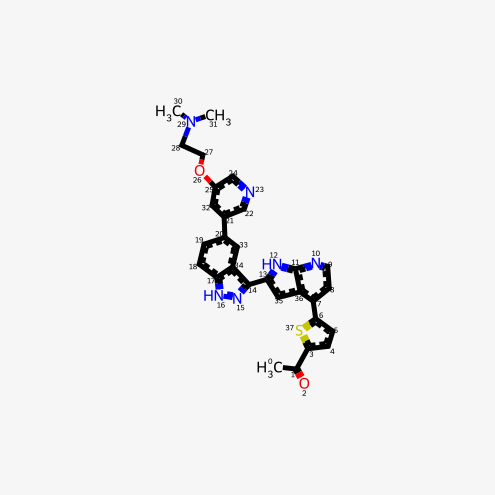 CC(=O)c1ccc(-c2ccnc3[nH]c(-c4n[nH]c5ccc(-c6cncc(OCCN(C)C)c6)cc45)cc23)s1